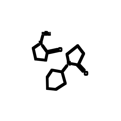 CCCCN1CCCC1=O.O=C1CCCN1C1CCCCC1